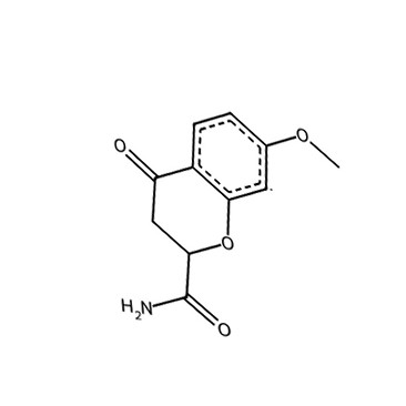 COc1[c]c2c(cc1)C(=O)CC(C(N)=O)O2